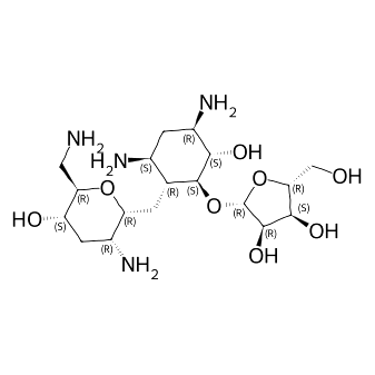 NC[C@H]1O[C@H](C[C@H]2[C@H](O[C@@H]3O[C@H](CO)[C@@H](O)[C@H]3O)[C@@H](O)[C@H](N)C[C@@H]2N)[C@H](N)C[C@@H]1O